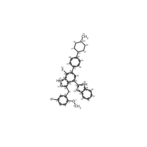 COc1ccc(F)cc1Cc1n[nH]c2c(F)c(-c3ccc(C4CCN(C)CC4)cc3)cc(-c3nc4ccccc4[nH]3)c12